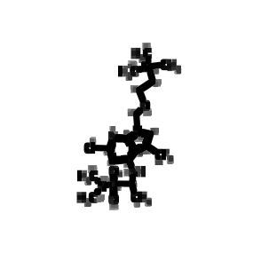 CC(Nc1cc(Cl)nc2c1c(C(F)(F)F)cn2COCC[Si](C)(C)C)S(=O)(=O)N(C)C